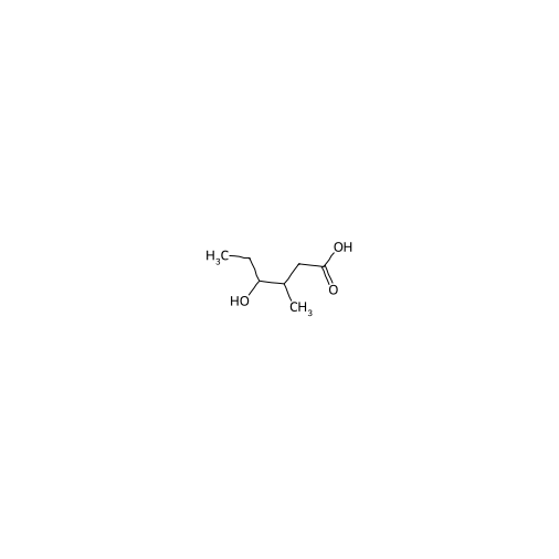 CCC(O)C(C)CC(=O)O